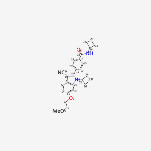 COCCOc1ccc2c(C#N)c(-c3ccc(C(=O)NC4CCC4)cc3)n(C3CCC3)c2c1